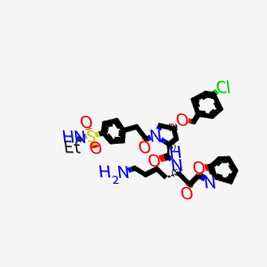 CCNS(=O)(=O)c1ccc(CC(=O)N2C[C@H](OCc3ccc(Cl)cc3)C[C@H]2C(=O)N[C@@H](CCCCN)C(=O)c2nc3ccccc3o2)cc1